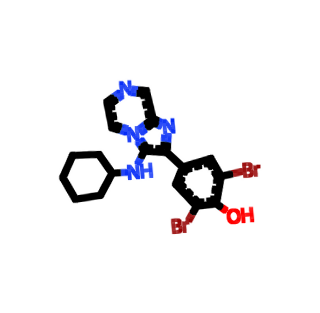 Oc1c(Br)cc(-c2nc3cnccn3c2NC2CCCCC2)cc1Br